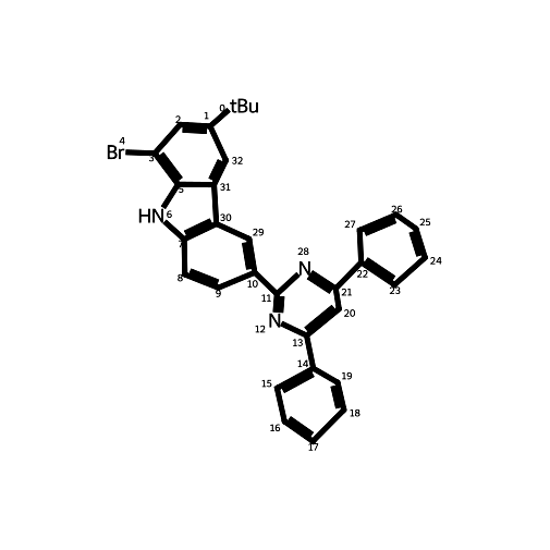 CC(C)(C)c1cc(Br)c2[nH]c3ccc(-c4nc(-c5ccccc5)cc(-c5ccccc5)n4)cc3c2c1